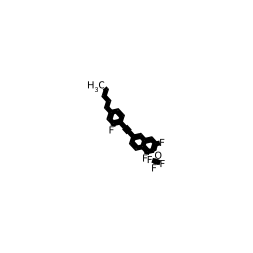 CCCCCc1ccc(C#Cc2ccc3c(F)c(OC(F)(F)F)c(F)cc3c2)c(F)c1